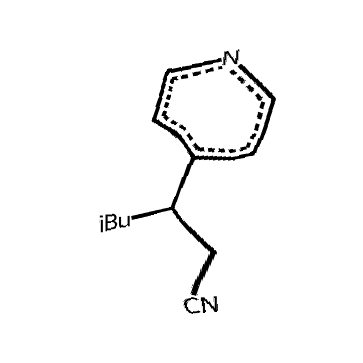 CCC(C)C(CC#N)c1ccncc1